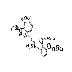 CCCCOc1cccc([SiH2]CCC[SiH2]c2cccc(OCCCC)c2OCCCC)c1OCCCC